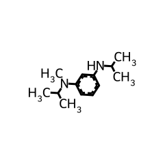 CC(C)Nc1cccc(N(C)C(C)C)c1